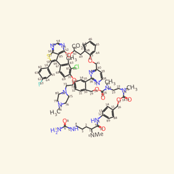 CNC(CCCNC(N)=O)C(=O)Nc1ccc(COC(=O)N(C)CCN(C)C(=O)OCc2ccccc2-c2nccc(COc3ccccc3CC(Oc3ncnc4sc(-c5ccc(F)cc5)c(-c5ccc(OCCN6CCN(C)CC6)c(Cl)c5C)c34)C(=O)O)n2)cc1